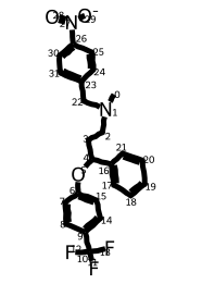 CN(CCC(Oc1ccc(C(F)(F)F)cc1)c1ccccc1)Cc1ccc([N+](=O)[O-])cc1